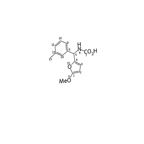 COc1ccc(C(NC(=O)O)c2cccc(C)c2)o1